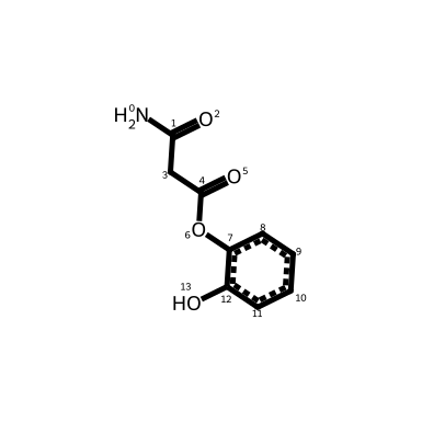 NC(=O)CC(=O)Oc1ccccc1O